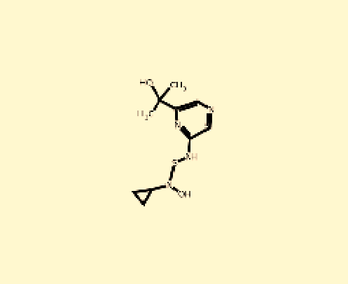 CC(C)(O)c1cncc(NSN(O)C2CC2)n1